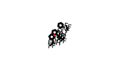 FC(F)(F)Nc1ccccc1Oc1ccccc1C(F)(Oc1ccccc1NC(F)(F)F)C(F)(F)C(F)(F)F